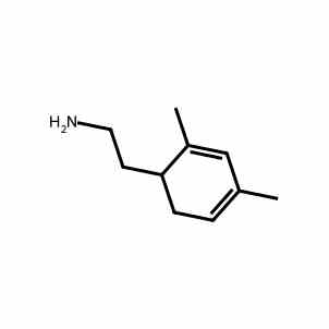 CC1=CCC(CCN)C(C)=C1